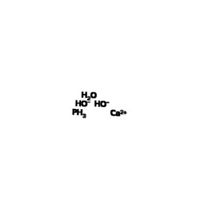 O.P.[Ca+2].[OH-].[OH-]